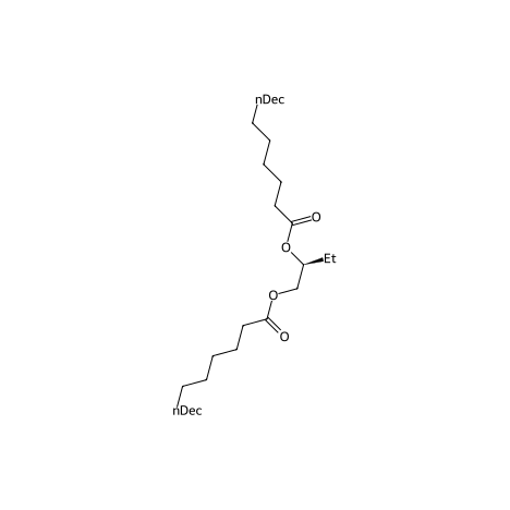 CCCCCCCCCCCCCCCC(=O)OC[C@H](CC)OC(=O)CCCCCCCCCCCCCCC